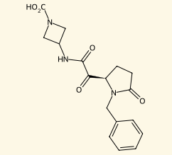 O=C(NC1CN(C(=O)O)C1)C(=O)[C@H]1CCC(=O)N1Cc1ccccc1